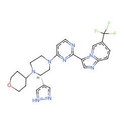 FC(F)(F)c1ccc2ncc(-c3nccc(N4CCN(C5CCOCC5)[C@@H](c5cn[nH]c5)C4)n3)n2c1